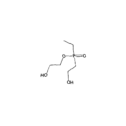 CCP(=O)(CCO)OCCO